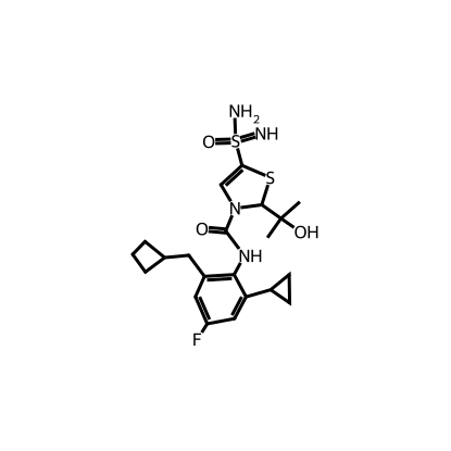 CC(C)(O)C1SC(S(=N)(N)=O)=CN1C(=O)Nc1c(CC2CCC2)cc(F)cc1C1CC1